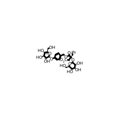 CC(C)C[C@](CC(=O)O)(O[C@@H]1O[C@H](CO)[C@@H](O)[C@H](O)[C@H]1O)C(=O)OCc1ccc(O[C@@H]2O[C@H](CO)[C@@H](O)[C@H](O)[C@H]2O)cc1